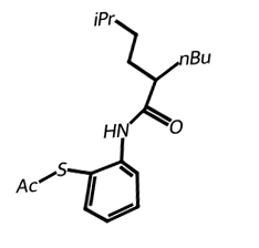 CCCCC(CCC(C)C)C(=O)Nc1ccccc1SC(C)=O